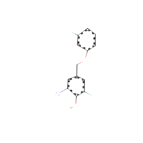 COc1c(N)cc(COc2cccc(F)c2)cc1F